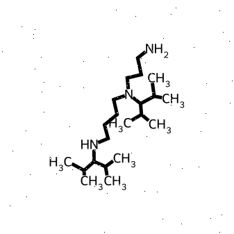 CC(C)C(NCCCCN(CCCN)C(C(C)C)C(C)C)C(C)C